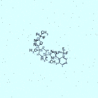 Cn1c(-c2ccccc2C(F)(F)F)nnc1C1(C)CCC(C)(c2nnc(C(C)(F)F)o2)CC1